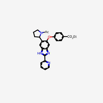 CCOC(=O)c1ccc(Oc2cc3nc(-c4ccccn4)[nH]c3cc2C2CCCN2C(C)=O)cc1